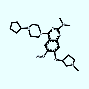 COc1cc2c(N3CCN(C4CCCC4)CC3)nc(N(C)C)nc2cc1OC1CCN(C)C1